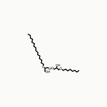 CCCCCCCCCCCCCCCCOC(CO)COOCC(O)COCCCCCCCC